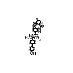 CC(C)(NC(=O)c1ccc2c(c1)NC(=O)c1ccccc1S2(=O)=O)c1ccc(-c2ccc(O)cc2)cc1